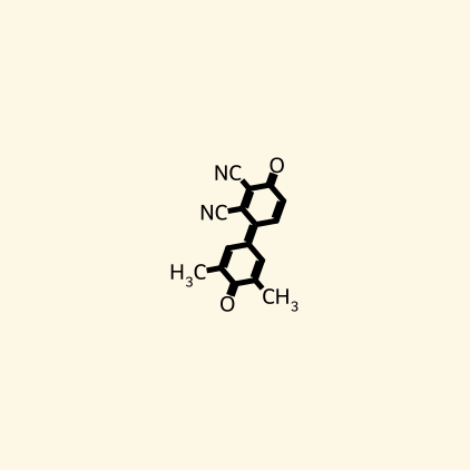 CC1=CC(=C2C=CC(=O)C(C#N)=C2C#N)C=C(C)C1=O